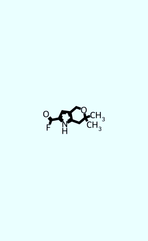 CC1(C)Cc2[nH]c(C(=O)F)cc2CO1